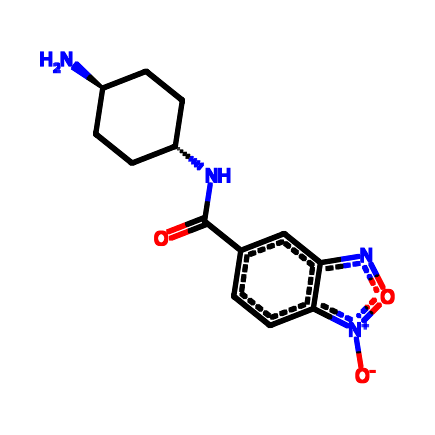 N[C@H]1CC[C@H](NC(=O)c2ccc3c(c2)no[n+]3[O-])CC1